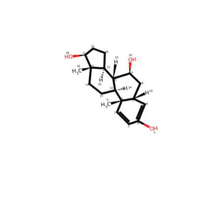 C[C@]12C=CC(O)=C[C@H]1C[C@H](O)[C@@H]1[C@@H]2CC[C@]2(C)[C@@H](O)CC[C@@H]12